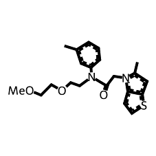 COCCOCCN(C(=O)Cn1c(C)cc2sccc21)c1cccc(C)c1